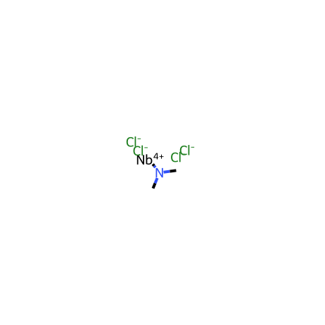 C[N](C)[Nb+4].[Cl-].[Cl-].[Cl-].[Cl-]